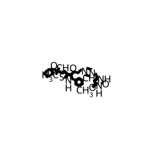 Cc1cc(C)cc(-c2[nH]c3sc(C(C)(C)C(=O)N4C5CCC4CC5)cc3c2C(=O)CCN2CCN(Cc3cc(=O)[nH]c(=O)[nH]3)CC2)c1